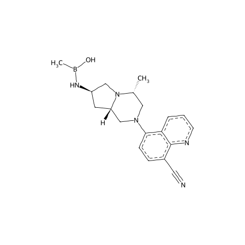 CB(O)N[C@@H]1C[C@H]2CN(c3ccc(C#N)c4ncccc34)C[C@@H](C)N2C1